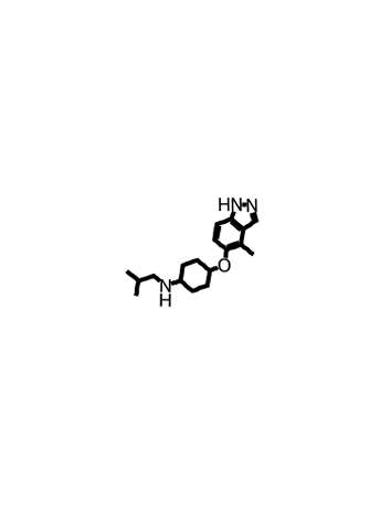 Cc1c(OC2CCC(NCC(C)C)CC2)ccc2[nH]ncc12